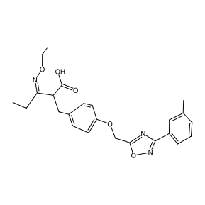 CCO/N=C(/CC)C(Cc1ccc(OCc2nc(-c3cccc(C)c3)no2)cc1)C(=O)O